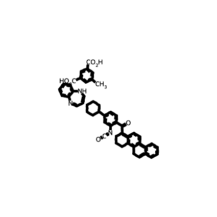 C1=CNc2ccccc2N=C1.Cc1cc(C(=O)O)cc(C(=O)O)c1.O=C=Nc1cc(C2CCCCC2)ccc1C(=O)C1=c2ccc3c(c2CCC1)CC=c1ccccc1=3